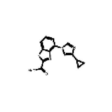 COC(=O)c1nc2c(-n3cnc(C4CC4)c3)cccc2s1